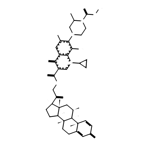 COc1c(N2CCN(C(=O)OC(C)(C)C)C(C)C2)c(F)cc2c(=O)c(C(=O)OCC(=O)[C@]3(O)CC[C@@H]4[C@H]5CCC6=CC(=O)C=C[C@@]6(C)[C@@H]5[C@H](O)C[C@]43C)cn(C3CC3)c12